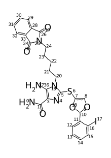 NC(=O)c1nc(SC2=COC(c3ccccc3I)O2)n(CCCCCN2C(=O)c3ccccc3C2=O)c1N